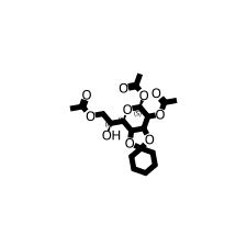 CC(=O)OC[C@@H](O)[C@@H]1O[C@@H](OC(C)=O)C(OC(C)=O)C2OC3(CCCCC3)OC21